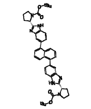 CC(C)(C)OC(=O)N1CCC[C@H]1c1nc2cc(-c3cccc4c(-c5ccc6[nH]c([C@@H]7CCCN7C(=O)OC(C)(C)C)nc6c5)cccc34)ccc2[nH]1